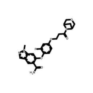 Cn1ncc2cc(C(N)=O)c(Oc3ccc(OCCC(=O)N4C5COCC4C5)cc3F)cc21